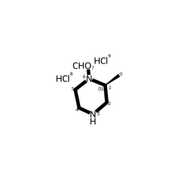 C[C@H]1CNCCN1C=O.Cl.Cl